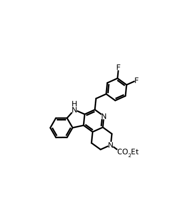 CCOC(=O)N1CCc2c(nc(Cc3ccc(F)c(F)c3)c3[nH]c4ccccc4c23)C1